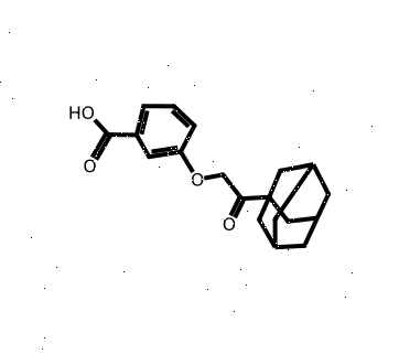 O=C(O)c1cccc(OCC(=O)C23CC4CC(CC(C4)C2)C3)c1